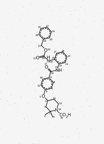 CC1(C)CC(Oc2ccc(C(=O)Nc3ccccc3NC(=O)OCc3ccccc3)cc2)CCN1C(=O)O